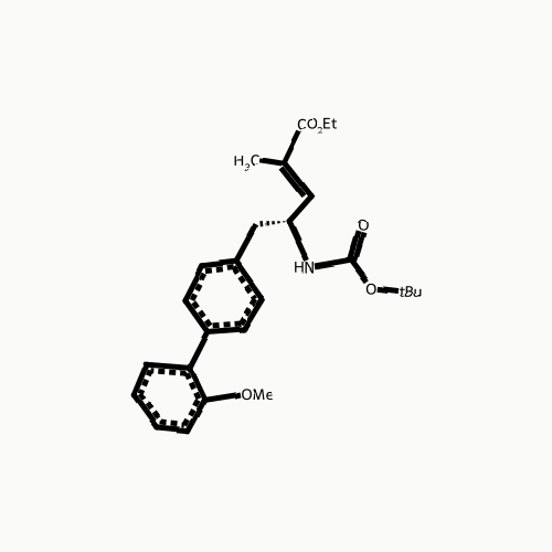 CCOC(=O)/C(C)=C/[C@@H](Cc1ccc(-c2ccccc2OC)cc1)NC(=O)OC(C)(C)C